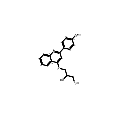 CNCC(O)COc1cc(-c2ccc(OC)cc2)nc2ccccc12